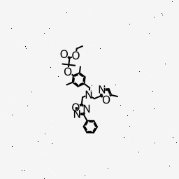 CCOC(=O)C(C)(C)Oc1c(C)cc(CN(Cc2nc(-c3ccccc3)no2)Cc2ncc(C)o2)cc1C